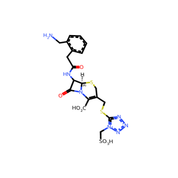 NCc1ccccc1CC(=O)NC1C(=O)N2C(C(=O)O)=C(CSc3nnnn3CS(=O)(=O)O)CS[C@H]12